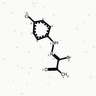 CC(=O)/C(Br)=N/Nc1ccc(Cl)cc1